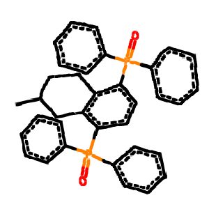 CC1CCc2c(P(=O)(c3ccccc3)c3ccccc3)ccc(P(=O)(c3ccccc3)c3ccccc3)c2C1